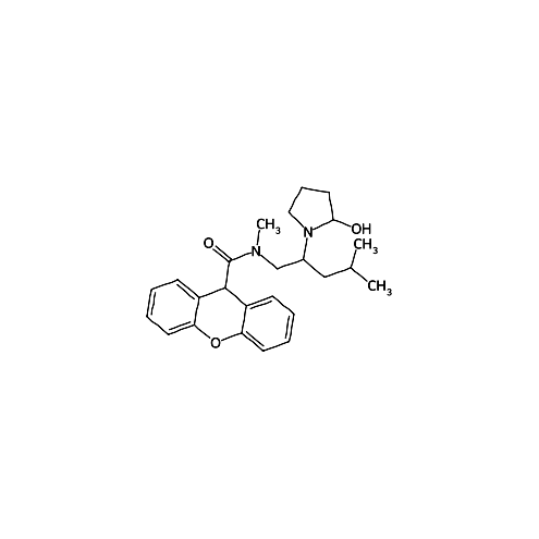 CC(C)CC(CN(C)C(=O)C1c2ccccc2Oc2ccccc21)N1CCCC1O